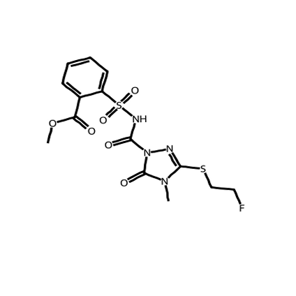 COC(=O)c1ccccc1S(=O)(=O)NC(=O)n1nc(SCCF)n(C)c1=O